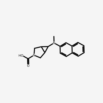 CN(c1ccc2ccccc2c1)C1C2CN(C(=O)O)CC21